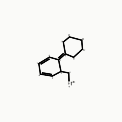 [Hf+3][CH2]C1C=CC=CC1=C1CCCCC1